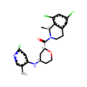 C[C@H]1c2c(Cl)cc(Cl)cc2CCN1C(=O)[C@H]1C[C@H](Nc2cc(Cl)ncc2[N+](=O)[O-])CCO1